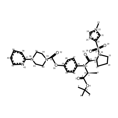 C[C@@H](C(=O)OC(C)(C)C)N(C(=O)[C@@H]1CCCN1S(=O)(=O)c1cn(C)cn1)c1ccc(OC(=O)N2CCN(c3ccccn3)CC2)cc1